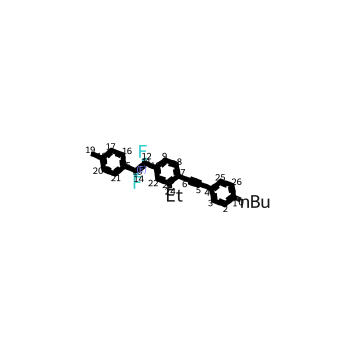 CCCCc1ccc(C#Cc2ccc(/C(F)=C(\F)c3ccc(C)cc3)cc2CC)cc1